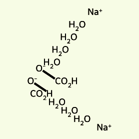 O.O.O.O.O.O.O.O=C([O-])O.O=C([O-])O.[Na+].[Na+]